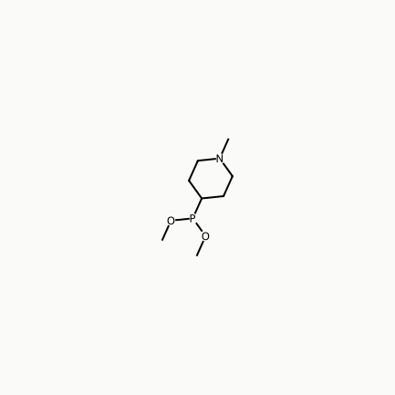 COP(OC)C1CCN(C)CC1